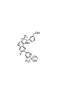 CC(Nc1c(Cl)cnc2cc(F)c(-c3cnc(C(C)(C)O)nc3)nc12)c1cccc(CO)c1